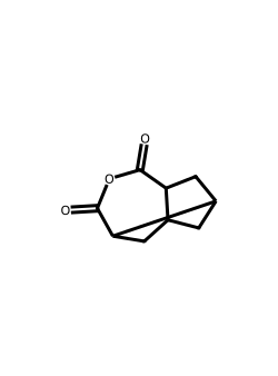 O=C1OC(=O)C2CC3CC2CC13